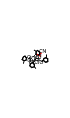 Cc1cccc(OP(=O)(CN(CC#N)CN(CC#N)CP(=O)(Oc2cccc(C)c2)Oc2cccc(C)c2)Oc2cccc(C)c2)c1